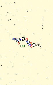 CN(c1ccc(Oc2ccc3c(c2)cc(C(=O)N2CCNCC2)n3C)nc1)S(=O)(=O)c1ccc(C(F)(F)F)cc1.Cl